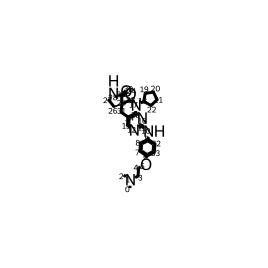 CN(C)CCOc1ccc(Nc2ncc3c(n2)N(C2CCCC2)C(=O)[C@]2(CCNC2=O)C3)cc1